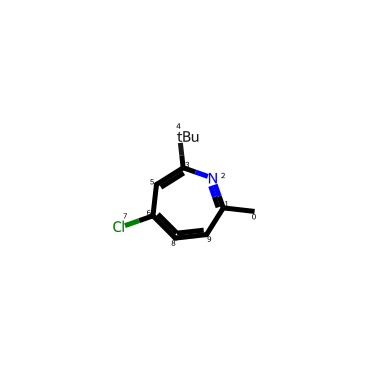 CC1=NC(C(C)(C)C)=CC(Cl)=C=C1